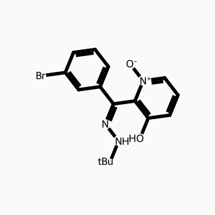 CC(C)(C)N/N=C(/c1cccc(Br)c1)c1c(O)ccc[n+]1[O-]